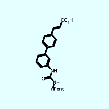 CCCCCNC(=O)Nc1cccc(-c2ccc(C=CC(=O)O)cc2)c1